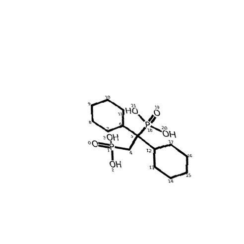 O=P(O)(O)CC(C1CCCCC1)(C1CCCCC1)P(=O)(O)O